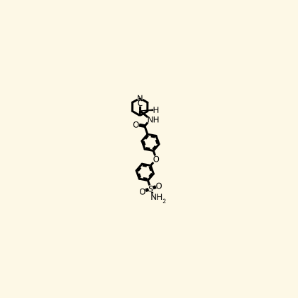 NS(=O)(=O)c1cccc(Oc2ccc(C(=O)N[C@H]3CN4CCC3CC4)cc2)c1